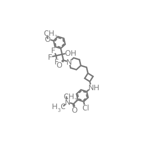 COc1cccc(C(O)(C(=O)N2CCC(CC3CC(Nc4ccc(C(=O)N(C)C)c(Cl)c4)C3)CC2)C(F)(F)F)c1